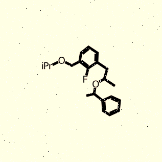 CC(C)OCc1cccc(CC(C)OC(C)c2ccccc2)c1F